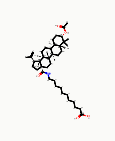 C=C(C)[C@@H]1CC[C@]2(C(=O)NCCCCCCCCCCC(=O)O)CC[C@]3(C)[C@H](CCC4[C@@]5(C)CC[C@H](OC(C)=O)C(C)(C)[C@@H]5CC[C@]43C)[C@@H]12